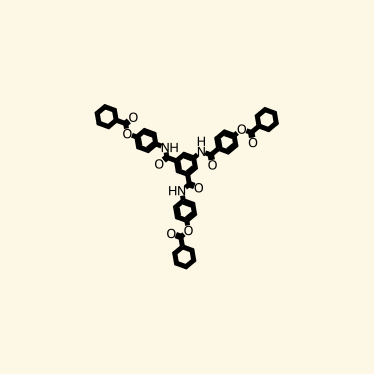 O=C(Nc1cc(C(=O)Nc2ccc(OC(=O)C3CCCCC3)cc2)cc(C(=O)Nc2ccc(OC(=O)C3CCCCC3)cc2)c1)c1ccc(OC(=O)C2CCCCC2)cc1